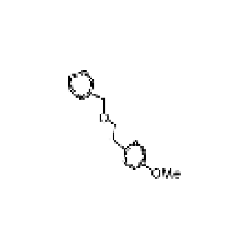 COc1ccc([CH]COCc2ccccc2)cc1